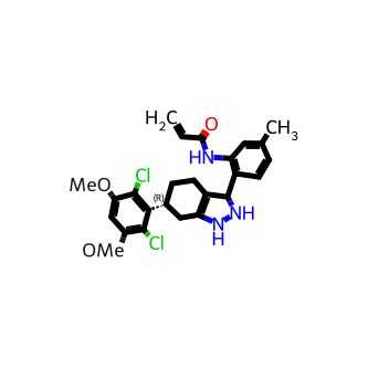 C=CC(=O)Nc1cc(C)ccc1C1NNC2=C1CC[C@@H](c1c(Cl)c(OC)cc(OC)c1Cl)C2